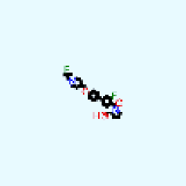 CC(C)(F)CN1CCC(COc2ccc(-c3ccc(C(=O)N4CCC[C@H]4CO)c(F)c3)cc2)CC1